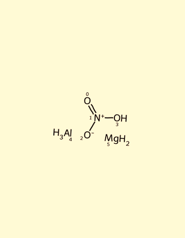 O=[N+]([O-])O.[AlH3].[MgH2]